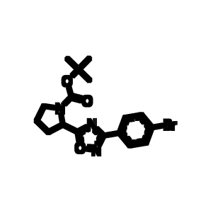 CC(C)(C)OC(=O)N1CCCC1c1nc(-c2ccc(Br)cc2)no1